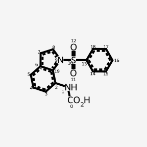 O=C(O)Nc1cccc2ccn(S(=O)(=O)c3ccccc3)c12